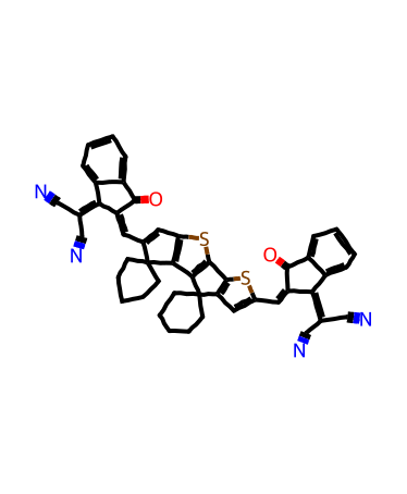 N#CC(C#N)=C1/C(=C/C2=Cc3sc4c(c3C23CCCCC3)C2(CCCCC2)c2cc(/C=C3\C(=O)c5ccccc5C3=C(C#N)C#N)sc2-4)C(=O)c2ccccc21